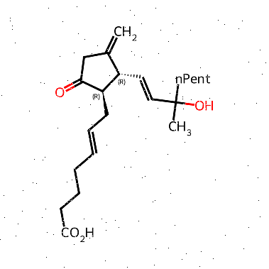 C=C1CC(=O)[C@H](CC=CCCCC(=O)O)[C@H]1C=CC(C)(O)CCCCC